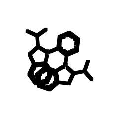 CC(C)C1Cc2ccccc2P1c1ccccc1P1c2ccccc2CC1C(C)C